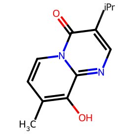 Cc1ccn2c(=O)c(C(C)C)cnc2c1O